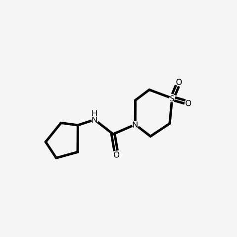 O=C(NC1CCCC1)N1CCS(=O)(=O)CC1